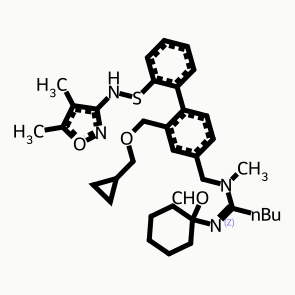 CCCC/C(=N/C1(C=O)CCCCC1)N(C)Cc1ccc(-c2ccccc2SNc2noc(C)c2C)c(COCC2CC2)c1